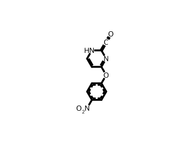 O=C=C1N=C(Oc2ccc([N+](=O)[O-])cc2)C=CN1